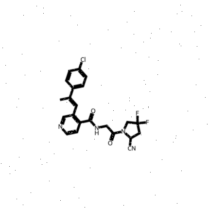 C/C(=C\c1cnccc1C(=O)NCC(=O)N1CC(F)(F)CC1C#N)c1ccc(Cl)cc1